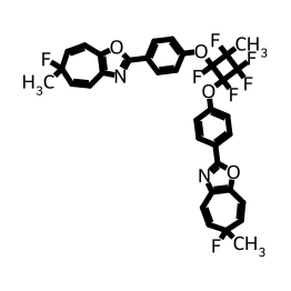 CC1(F)C=Cc2nc(-c3ccc(OC4(F)C(C)(F)C(F)(F)C4(F)Oc4ccc(-c5nc6c(o5)C=CC(C)(F)C=C6)cc4)cc3)oc2C=C1